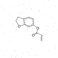 C=CC(=O)Oc1ccc2c(c1)OCC2